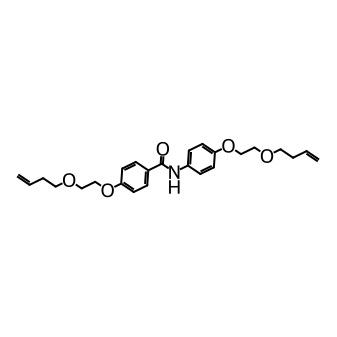 C=CCCOCCOc1ccc(NC(=O)c2ccc(OCCOCCC=C)cc2)cc1